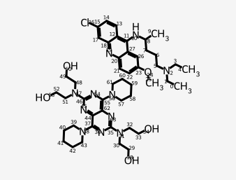 CCN(CC)CCCC(C)Nc1c2ccc(Cl)cc2nc2ccc(OC)cc12.OCCN(CCO)c1nc(N2CCCCC2)c2nc(N(CCO)CCO)nc(N3CCCCC3)c2n1